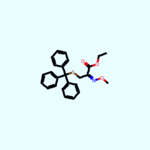 CCOC(=O)/C(CSC(c1ccccc1)(c1ccccc1)c1ccccc1)=N\OC